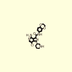 Nc1ncc(Cl)c2c1c(C(=O)Nc1ccc3c(c1)OCCO3)nn2[C@@H]1CCCNC1